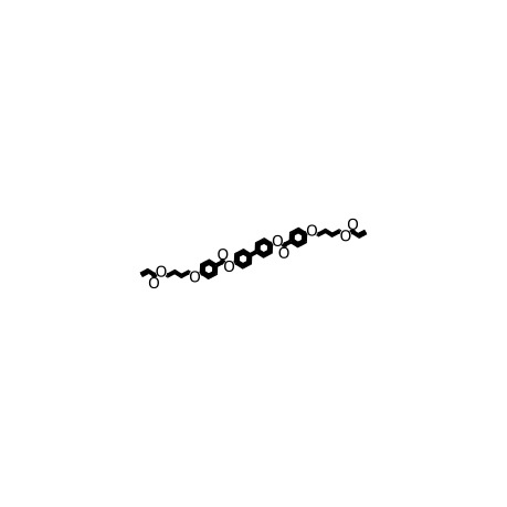 C=CC(=O)OCCCCOc1ccc(C(=O)Oc2ccc(-c3ccc(OC(=O)c4ccc(OCCCCOC(=O)C=C)cc4)cc3)cc2)cc1